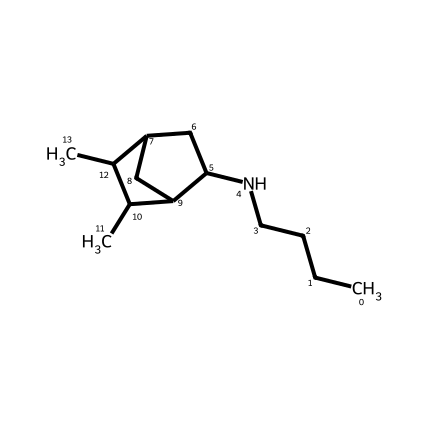 CCCCNC1CC2CC1C(C)C2C